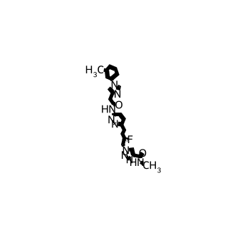 CNC(=O)c1cn(C[C@H](F)CCc2ccc(NC(=O)Cc3cn(-c4cccc(C)c4)cn3)nn2)nn1